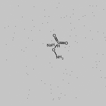 NO[SH](=O)=O.[NaH]